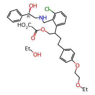 CCO.CCOCCOc1ccc(CCC(COC(=O)C(=O)O)c2cccc(Cl)c2CNC[C@H](O)c2ccccc2)cc1